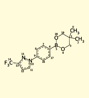 CC1(C)COB(c2ccc(-n3ccc(C(F)(F)F)n3)cc2)OC1